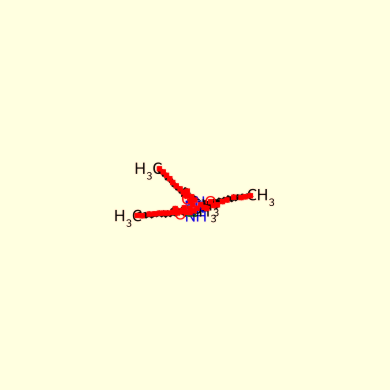 CCCCCCCCCCCCCCCc1cccc(Oc2ccc3c(c2)C(=N)N(C)/C3=N\C2=N/B(Cl)n3cc4ccc(Oc5cccc(CCCCCCCCCCCCCCC)c5)cc4c3/N=C(\C)c3ccc(Oc4cccc(CCCCCCCCCCCCCCC)c4)cc32)c1